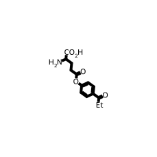 CCC(=O)c1ccc(OC(=O)CCC(N)C(=O)O)cc1